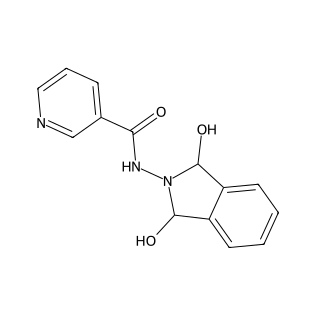 O=C(NN1C(O)c2ccccc2C1O)c1cccnc1